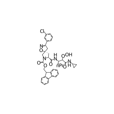 CCC[C@@H](NC(=O)[C@@H]1C[C@]2(CC(c3cccc(Cl)c3)=NO2)CN1C(=O)OCC1c2ccccc2-c2ccccc21)C(OO)C(=O)NC1CC1